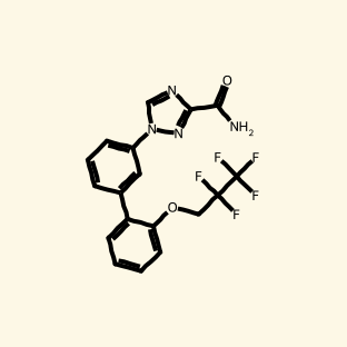 NC(=O)c1ncn(-c2cccc(-c3ccccc3OCC(F)(F)C(F)(F)F)c2)n1